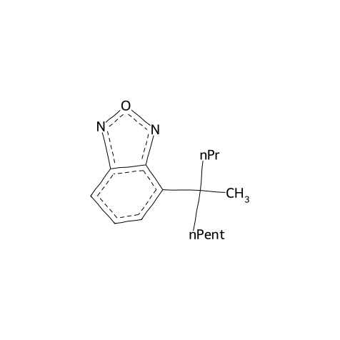 CCCCCC(C)(CCC)c1cccc2nonc12